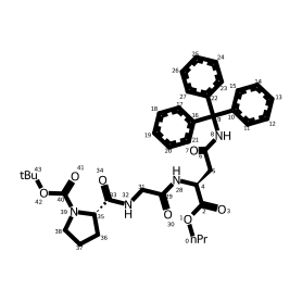 CCCOC(=O)[C@H](CC(=O)NC(c1ccccc1)(c1ccccc1)c1ccccc1)NC(=O)CNC(=O)[C@@H]1CCCN1C(=O)OC(C)(C)C